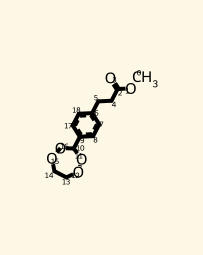 COC(=O)CCc1ccc(C2OOCCOO2)cc1